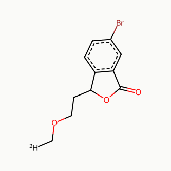 [2H]COCCC1OC(=O)c2cc(Br)ccc21